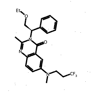 CCOC[C@@H](c1ccccc1)n1c(C)nc2ccc(N(C)CCC(F)(F)F)cc2c1=O